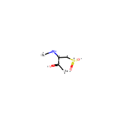 CC(C)(C)NC(C[SH](=O)=O)C(=O)C(C)(C)C